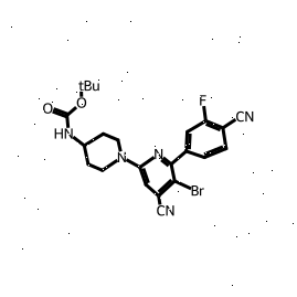 CC(C)(C)OC(=O)NC1CCN(c2cc(C#N)c(Br)c(-c3ccc(C#N)c(F)c3)n2)CC1